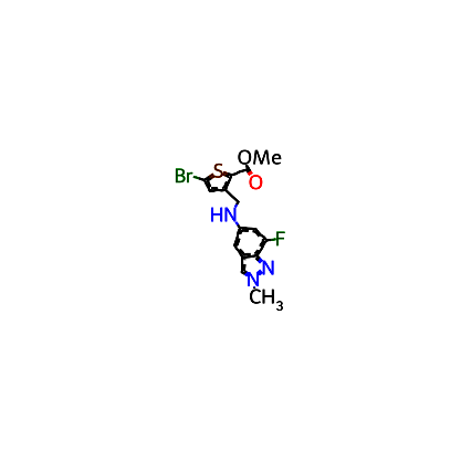 COC(=O)c1sc(Br)cc1CNc1cc(F)c2nn(C)cc2c1